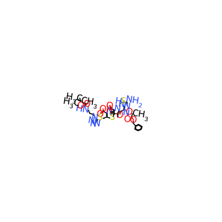 CC(O/N=C(/C(=O)NC1C(=O)N2C(C(=O)O)=C(CSc3nnnn3CCCNC(=O)OC(C)(C)C)CS[C@H]12)c1nsc(N)n1)C(=O)OCc1ccccc1